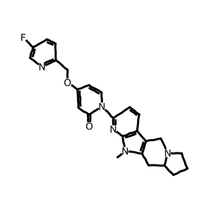 Cn1c2c(c3ccc(-n4ccc(OCc5ccc(F)cn5)cc4=O)nc31)CN1CCCC1C2